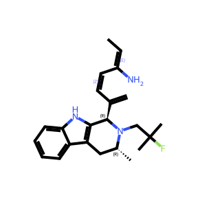 C=C(/C=C\C(N)=C/C)[C@@H]1c2[nH]c3ccccc3c2C[C@@H](C)N1CC(C)(C)F